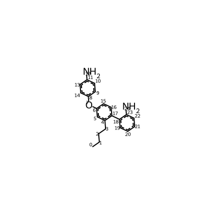 CCCCc1cc(Oc2ccc(N)cc2)ccc1-c1ccccc1N